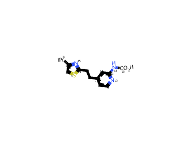 CC(C)c1csc(CCc2ccnc(NC(=O)O)c2)n1